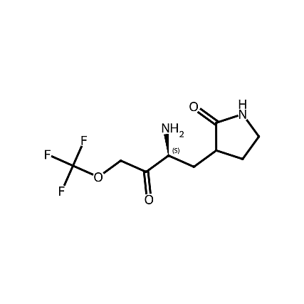 N[C@@H](CC1CCNC1=O)C(=O)COC(F)(F)F